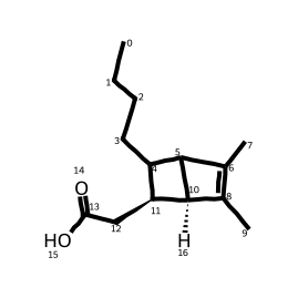 CCCCC1C2C(C)=C(C)[C@H]2[C@H]1CC(=O)O